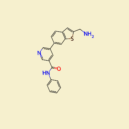 NCc1cc2ccc(-c3cncc(C(=O)Nc4ccccc4)c3)cc2s1